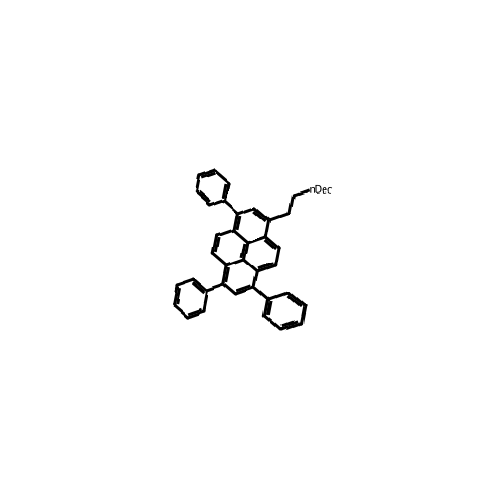 CCCCCCCCCCCCc1cc(-c2ccccc2)c2ccc3c(-c4ccccc4)cc(-c4ccccc4)c4ccc1c2c43